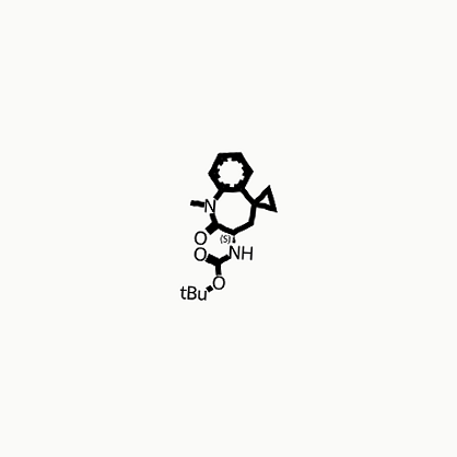 CN1C(=O)[C@@H](NC(=O)OC(C)(C)C)CC2(CC2)c2ccccc21